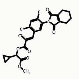 COC(=O)C(OC(=O)C(Cl)=Cc1cc(N2C(=O)C3=C(CCCC3)C2=O)c(F)cc1Cl)C1CC1